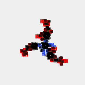 CNc1c(/N=N/c2ccc(S(=O)(=O)CCOS(=O)(=O)O)cc2)cc(/N=N/c2ccc(S(=O)(=O)CCOS(=O)(=O)O)cc2S(=O)(=O)O)c(N)c1/N=N/c1ccc(S(=O)(=O)CCOS(=O)(=O)O)cc1S(=O)(=O)O